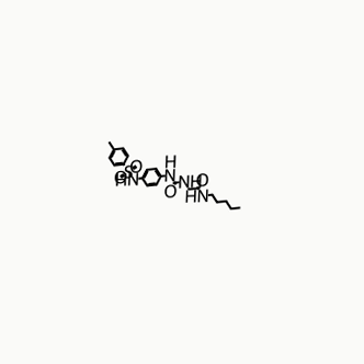 CCCCCNC(=O)CNC(=O)Nc1ccc(NS(=O)(=O)c2ccc(C)cc2)cc1